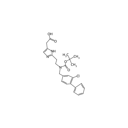 CC(C)(C)OC(=O)N(CCc1ncc(CC(=O)O)[nH]1)Cc1ccc(-c2ccccc2)c(Cl)c1